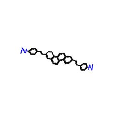 CN(C)c1ccc(/C=C/C2=Cc3ccc4c(ccc5cc(/C=C/c6ccc(N(C)C)cc6)ccc54)c3CC2)cc1